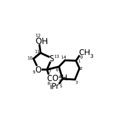 CC1CCC(C(C)C)C(C2(C(=O)O)OCC(O)S2)C1